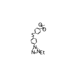 CCN1C=NCN(c2ccc(Sc3ccc(S(C)(=O)=O)cc3)cc2)C1